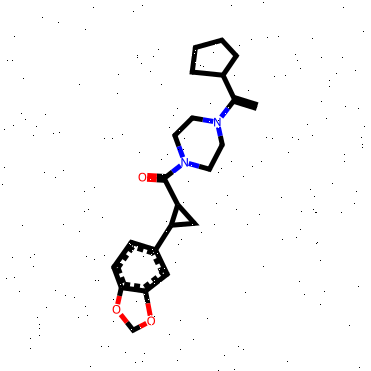 C=C(C1CCCC1)N1CCN(C(=O)C2CC2c2ccc3c(c2)OCO3)CC1